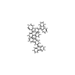 C1#Cc2c(c3cc(-n4c5ccc#cc5c5ccccc54)ccc3n2-c2ccccc2C2=C(n3c4ccccc4c4cc(-n5c6ccccc6c6ccccc65)ccc43)C=CCC2)C=CC1